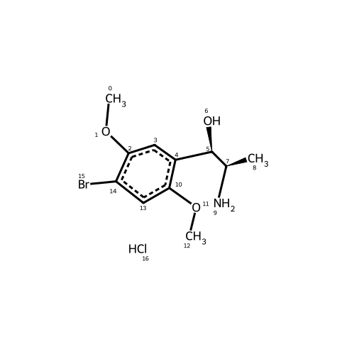 COc1cc([C@@H](O)[C@@H](C)N)c(OC)cc1Br.Cl